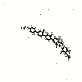 CCCc1ccc(-c2ccc(-c3ccc(-c4cc(F)c(C(F)(F)Oc5cc(F)c(OCF)c(F)c5)c(F)c4)c(F)c3)c(F)c2)cc1